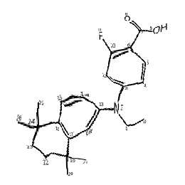 CCN(c1ccc(C(=O)O)c(F)c1)c1ccc2c(c1)C(C)(C)CCC2(C)C